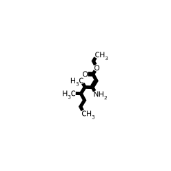 CCCC(C)C(C)/C(N)=C\C(=O)OCC